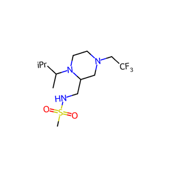 CC(C)C(C)N1CCN(CC(F)(F)F)CC1CNS(C)(=O)=O